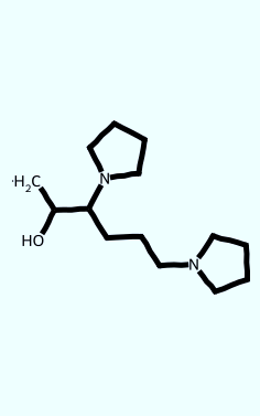 [CH2]C(O)C(CCCN1CCCC1)N1CCCC1